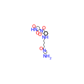 N[C@H]1CCN(C(=O)CCCCCNc2cccc3c2C(=O)N(C2CCC(=O)NC2=O)C3=O)C1